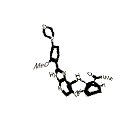 CNC(=O)[C@@H]1[C@H](Nc2c(Cl)cnc3[nH]c(-c4ccc(N5CCOCC5)cc4OC)nc23)[C@H]2C=C[C@@H]1C2